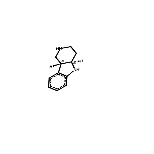 c1ccc2c(c1)N[C@@H]1CCNC[C@@H]21